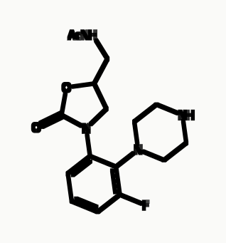 CC(=O)NCC1CN(c2cccc(F)c2N2CCNCC2)C(=O)O1